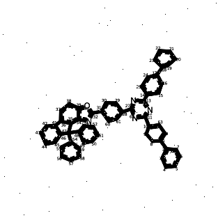 C1=C(c2ccccc2)CCC(c2nc(-c3ccc(-c4ccccc4)cc3)nc(-c3ccc(-c4nc5c6c(ccc5o4)-c4ccccc4C6(c4ccccc4)c4ccccc4)cc3)n2)=C1